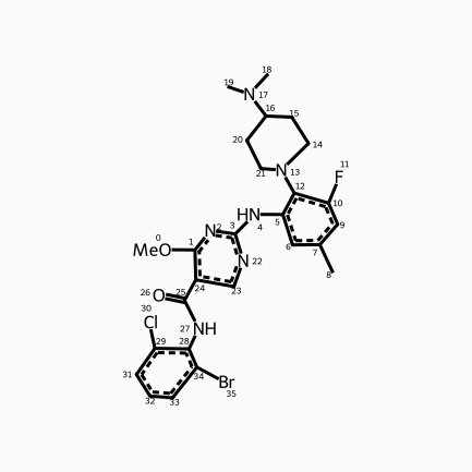 COc1nc(Nc2cc(C)cc(F)c2N2CCC(N(C)C)CC2)ncc1C(=O)Nc1c(Cl)cccc1Br